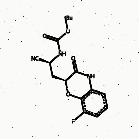 CC(C)(C)OC(=O)N[C@H](C#N)C[C@@H]1Oc2c(F)cccc2NC1=O